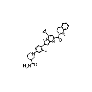 C[C@@H]1c2ccccc2CCN1C(=O)c1cc(C2CC2)n2nc(-c3ccc(N4CCCC(C(N)=O)C4)cc3F)cc2n1